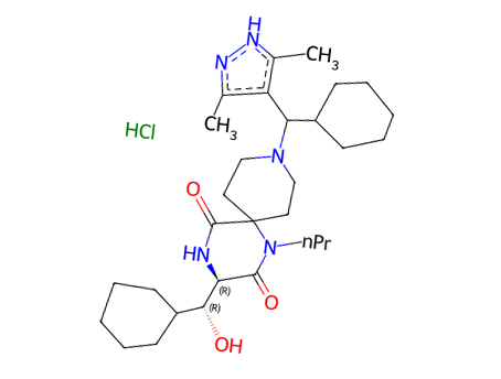 CCCN1C(=O)[C@@H]([C@H](O)C2CCCCC2)NC(=O)C12CCN(C(c1c(C)n[nH]c1C)C1CCCCC1)CC2.Cl